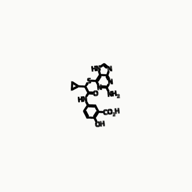 Nc1nc(S[C@@H](C(=O)Nc2ccc(O)c(C(=O)O)c2)C2CC2)c2[nH]cnc2n1